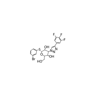 OCC1O[C@H](Sc2cccc(Br)c2)C(O)C(n2cc(-c3cc(F)c(F)c(F)c3)nn2)[C@H]1O